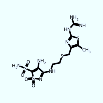 Cc1sc(NC(=N)N)nc1CSCCNC1=NS(=O)(=O)C(S(N)(=O)=O)=C1N